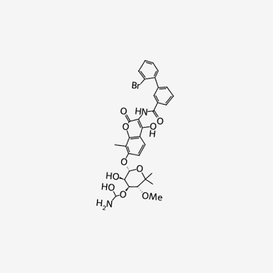 CO[C@@H]1[C@@H](OC(N)O)[C@@H](O)[C@H](Oc2ccc3c(O)c(NC(=O)c4cccc(-c5ccccc5Br)c4)c(=O)oc3c2C)OC1(C)C